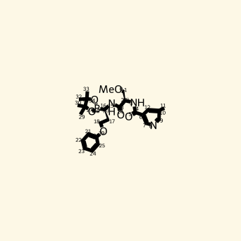 COC[C@@H](NC(=O)c1cncc(C)c1)C(=O)N[C@@H](CCOc1ccccc1)B1OC(C)(C)C(C)(C)O1